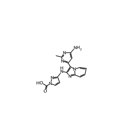 Cc1nc(N)cc(-c2c(Nc3ccn(C(=O)O)n3)nc3ccccn23)n1